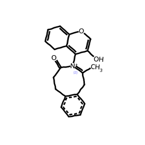 C/C1=[N+](\C2=C3CC=CC=C3OC=C2O)C(=O)CCc2ccccc2C1